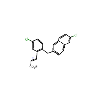 O=C(O)/C=C/c1cc(Cl)ccc1Cc1ccc2cc(Cl)ccc2c1